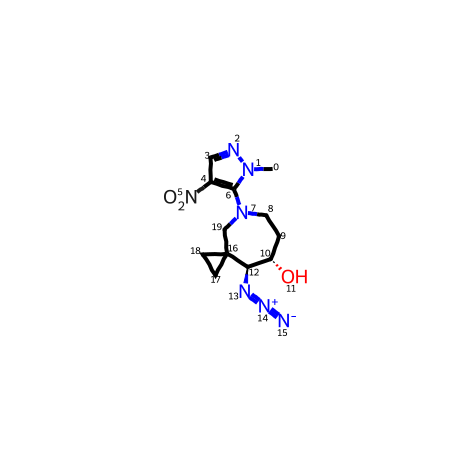 Cn1ncc([N+](=O)[O-])c1N1CC[C@H](O)[C@@H](N=[N+]=[N-])C2(CC2)C1